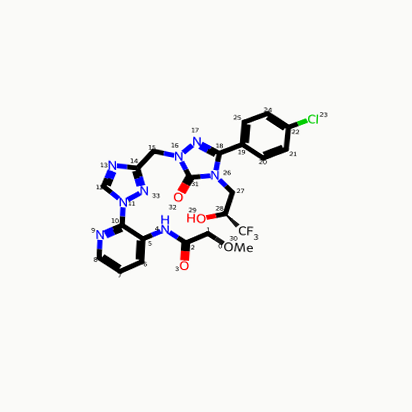 COCC(=O)Nc1cccnc1-n1cnc(Cn2nc(-c3ccc(Cl)cc3)n(C[C@H](O)C(F)(F)F)c2=O)n1